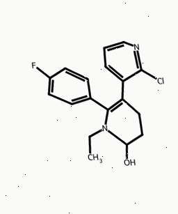 CCN1C(c2ccc(F)cc2)=C(c2cccnc2Cl)CCC1O